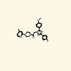 COc1ccc(-c2nc(-c3ccc(F)cc3)nn2CC(=O)N2CCN(c3cc(C)ccn3)CC2)cc1